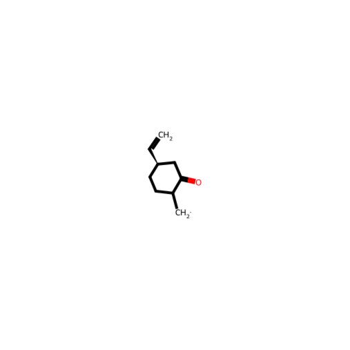 [CH2]C1CC[C@@H](C=C)CC1=O